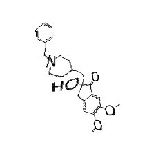 COc1cc2c(cc1OC)C(=O)C(O)(CC1CCN(Cc3ccccc3)CC1)C2